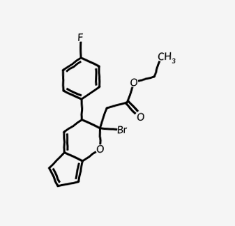 CCOC(=O)CC1(Br)OC2=CC=CC2=CC1c1ccc(F)cc1